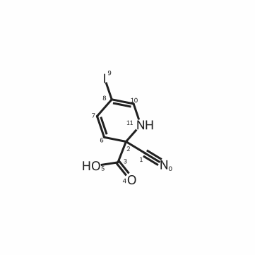 N#CC1(C(=O)O)C=CC(I)=CN1